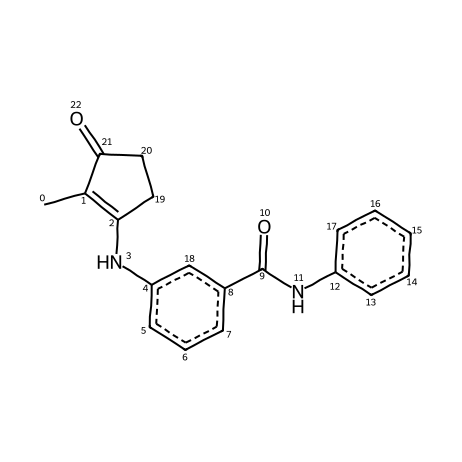 CC1=C(Nc2cccc(C(=O)Nc3ccccc3)c2)CCC1=O